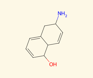 NC1C=CC2C(=CC=CC2O)C1